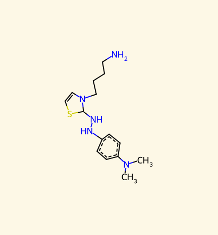 CN(C)c1ccc(NNC2SC=CN2CCCCN)cc1